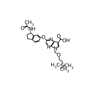 CC(=O)N[C@@H]1CCc2ccc(Oc3cnc4c(n3)c(C(=O)O)cn4COCC[Si](C)(C)C)cc21